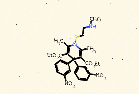 CCOC(=O)C1=C(C)N(SCCNC=O)C(C)=C(C(=O)OCC)C1(c1cccc([N+](=O)[O-])c1)c1cccc([N+](=O)[O-])c1